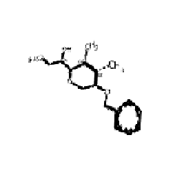 C[C@@H]1C(OCc2ccccc2)COC([C@H](O)CO)[C@H]1C